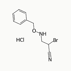 Cl.N#CC(Br)CNOCc1ccccc1